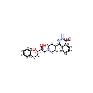 O=c1[nH]nc(C2CCN(C[C@H](O)[C@@H]3CCc4ccccc4O3)CC2)c2ccccc12